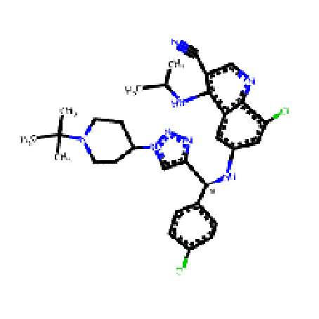 CC(C)Nc1c(C#N)cnc2c(Cl)cc(N[C@@H](c3ccc(Cl)cc3)c3cn(C4CCN(C(C)(C)C)CC4)nn3)cc12